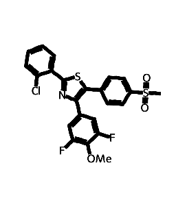 COc1c(F)cc(-c2nc(-c3ccccc3Cl)sc2-c2ccc(S(C)(=O)=O)cc2)cc1F